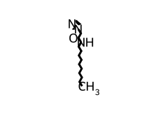 CCCCCCCCCCNC(=O)Cn1ccnc1